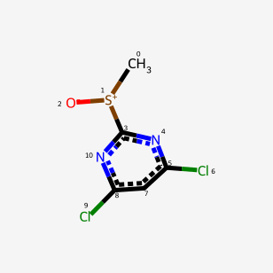 C[S+]([O-])c1nc(Cl)cc(Cl)n1